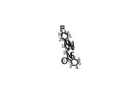 O=c1c2ccccc2sn1Cc1cn(-c2ccc(F)cc2)nn1